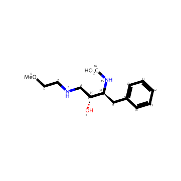 COCCNC[C@@H](O)[C@H](Cc1ccccc1)NC(=O)O